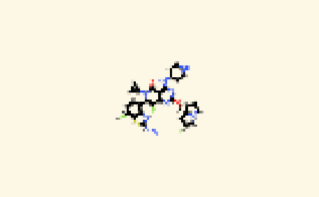 Nc1nc2c(-c3c(F)c4nc(OC[C@@]56CCCN5C[C@H](F)C6)nc(NC5CCNCC5)c4c(=O)n3C3CC3)ccc(F)c2s1